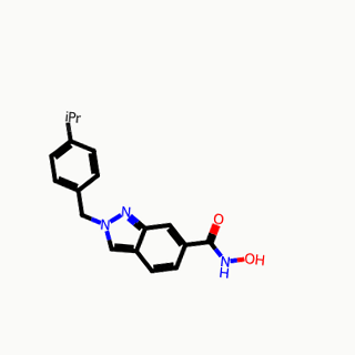 CC(C)c1ccc(Cn2cc3ccc(C(=O)NO)cc3n2)cc1